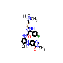 Cc1ccc(NC(=O)c2nc(SCCN(C)C)[nH]c2-c2ccc(F)cc2)cc1Nc1ccc2ncn(C)c(=O)c2c1